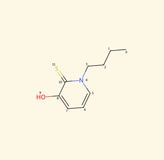 CCCCn1cccc(O)c1=S